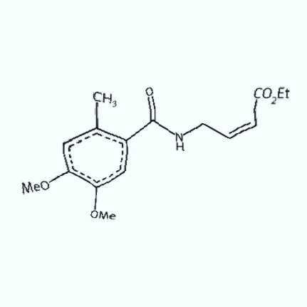 CCOC(=O)/C=C\CNC(=O)c1cc(OC)c(OC)cc1C